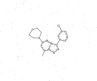 Cc1cc(N2CCOCC2)nn2c(-c3cccc(Cl)c3)nnc12